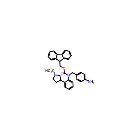 Nc1ccc(CN(C(=O)OCC2c3ccccc3-c3ccccc32)c2ccccc2C2CCN(C(=O)O)C2)cc1